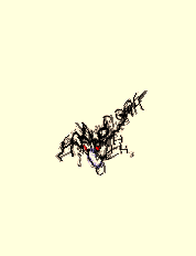 C=C1/C=C\C(Cl)=C/C(C)N/C(C(=O)NCCCCCCC(=O)NO)=C\1c1c(C2=CC=CC(C)C2)cnn1Cc1ccc(Cl)cc1